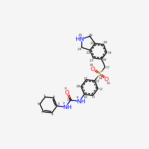 O=C(NC1=CCCC=C1)Nc1ccc(S(=O)(=O)Cc2ccc3c(c2)CNC3)cc1